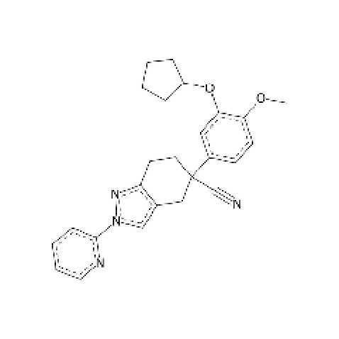 COc1ccc(C2(C#N)CCc3nn(-c4ccccn4)cc3C2)cc1OC1CCCC1